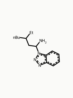 CCCCC(CC)CC(N)n1nnc2ccccc21